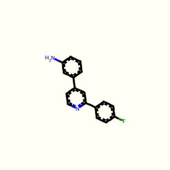 Nc1cccc(-c2ccnc(-c3ccc(F)cc3)c2)c1